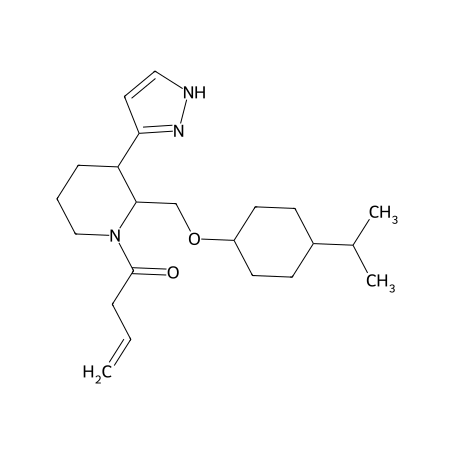 C=CCC(=O)N1CCCC(c2cc[nH]n2)C1COC1CCC(C(C)C)CC1